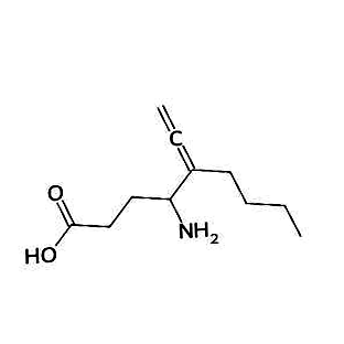 C=C=C(CCCC)C(N)CCC(=O)O